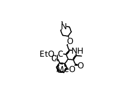 CCOC(=O)C1=C(COC2CCN(C)CC2)NC(C)=C(C(=O)OC)C1c1ccccc1Cl